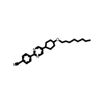 CCCCCCCCOC1CCC(c2cnc(-c3ccc(C#N)cc3)nc2)CC1